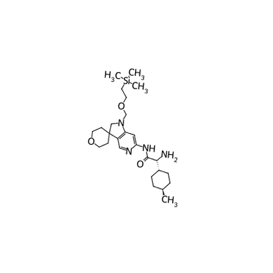 C[Si](C)(C)CCOCN1CC2(CCOCC2)c2cnc(NC(=O)C(N)[C@H]3CC[C@H](C)CC3)cc21